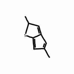 CC1=CC2=CC(C)SC2=C1